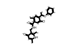 Cc1cc(=O)c(CNC(=O)c2cc(Cl)c(C(C)Oc3ccccc3)cc2C)c(C)[nH]1